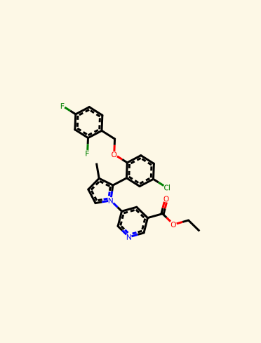 CCOC(=O)c1cncc(-n2ccc(C)c2-c2cc(Cl)ccc2OCc2ccc(F)cc2F)c1